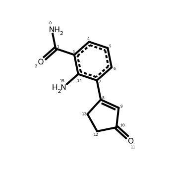 NC(=O)c1cccc(C2=CC(=O)CC2)c1N